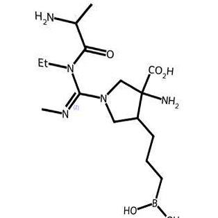 CCN(C(=O)C(C)N)/C(=N\C)N1CC(CCCB(O)O)C(N)(C(=O)O)C1